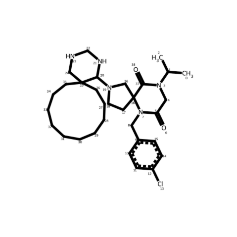 CC(C)N1CC(=O)N(Cc2ccc(Cl)cc2)C2(CCN(C3NCNCC34CCCCCCCCCC4)C2)C1=O